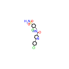 NS(=O)(=O)c1ccc(CNC(=O)c2ccc(-c3ccc(Cl)cc3)nc2)c(Cl)c1